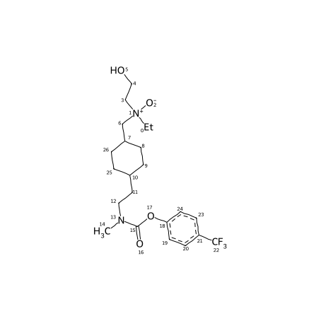 CC[N+]([O-])(CCO)CC1CCC(CCN(C)C(=O)Oc2ccc(C(F)(F)F)cc2)CC1